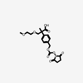 COCCOCC(C)(C(=O)O)c1ccc(COC(=O)ON2C(=O)CCC2=O)cc1